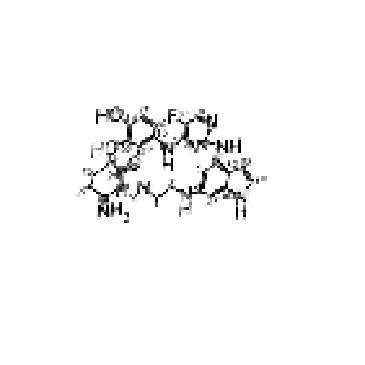 NCCNc1cc(Nc2ncc(F)c(Nc3ccc(O)c(O)c3O[C@@H]3CCC[C@H](N)C3)n2)c2cc[nH]c2c1